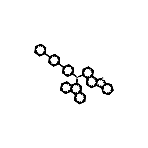 c1ccc(-c2ccc(-c3ccc(N(c4cc5ccccc5c5ccccc45)c4cccc5c4ccc4c6ccccc6sc54)cc3)cc2)cc1